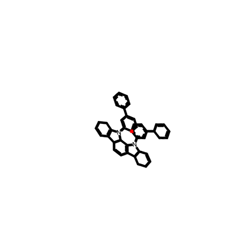 C1=CCC(c2cccc(N3C4=C(C=CC5C6=C(CCC=C6)N(C6=CC(c7ccccc7)=CCC6)C45)C4CCC=CC43)c2)C=C1